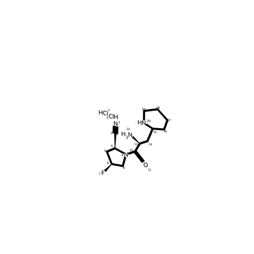 Cl.Cl.N#C[C@@H]1C[C@H](F)CN1C(=O)[C@@H](N)CC1CCCCN1